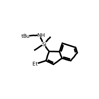 CCC1=Cc2ccccc2C1[Si](C)(C)NC(C)(C)C